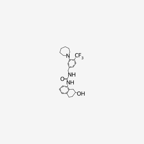 O=C(NCc1ccc(C(F)(F)F)c(N2CCCCCC2)c1)Nc1cccc2c1CC(O)CC2